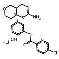 Cl.Cl.NC1=NCC2COCC[C@]2(c2cccc(NC(=O)c3ccc(Cl)cn3)c2)S1